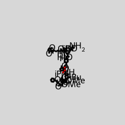 CC[C@H](C)[C@@H]([C@@H](CC(=O)N1CCC[C@H]1[C@H](OC)[C@@H](C)C(=O)N[C@H](C)[C@@H](O)c1ccccc1)OC)N(C)C(=O)[C@@H](NC(=O)[C@]1(C)CCCN1C(=O)OCc1ccc(NC(=O)[C@H](CCCNC(N)=O)NC(=O)[C@@H](NC(=O)CCCCCN2C(=O)C=CC2=O)C(C)C)cc1)C(C)C